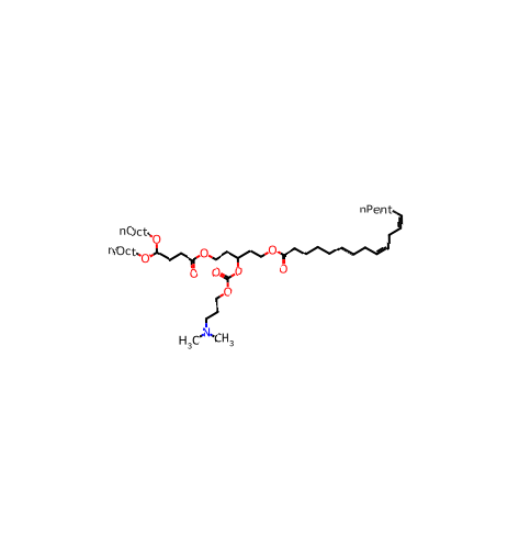 CCCCC/C=C\C/C=C\CCCCCCCC(=O)OCCC(CCOC(=O)CCC(OCCCCCCCC)OCCCCCCCC)OC(=O)OCCCN(C)C